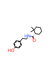 CC1(C)CCCC[C@@H]1C(=O)NCCc1ccc(O)cc1